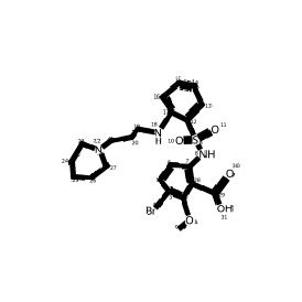 COc1c(Br)ccc(NS(=O)(=O)c2ccccc2NCCCN2CCCCC2)c1C(=O)O